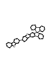 c1ccc2c(c1)-c1ccccc1C21c2ccccc2-c2cc3c(cc21)oc1cc(-c2ccc4c(c2)oc2ccccc24)ccc13